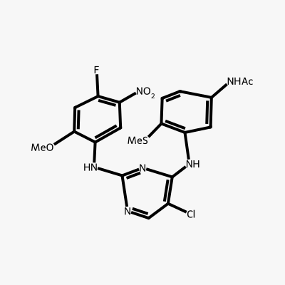 COc1cc(F)c([N+](=O)[O-])cc1Nc1ncc(Cl)c(Nc2cc(NC(C)=O)ccc2SC)n1